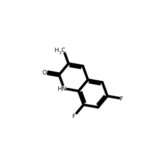 Cc1cc2cc(F)cc(F)c2[nH]c1=O